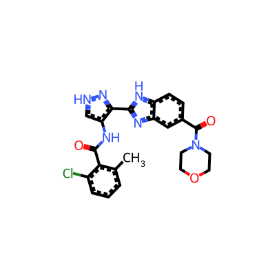 Cc1cccc(Cl)c1C(=O)Nc1c[nH]nc1-c1nc2cc(C(=O)N3CCOCC3)ccc2[nH]1